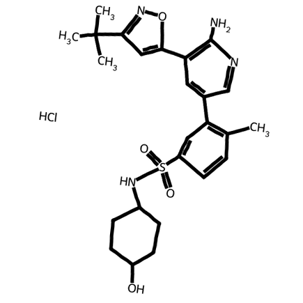 Cc1ccc(S(=O)(=O)NC2CCC(O)CC2)cc1-c1cnc(N)c(-c2cc(C(C)(C)C)no2)c1.Cl